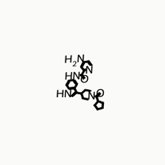 Nc1ccnc(C(=O)Nc2ccc3[nH]cc(C4CCN(C(=O)C5CCCC5)CC4)c3c2)c1